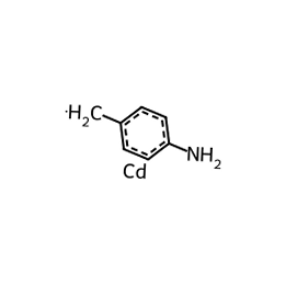 [CH2]c1ccc(N)cc1.[Cd]